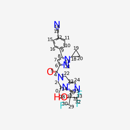 CC1CN(C(=O)c2cc(-c3ccc(C#N)cc3)n(C3CC3)n2)Cc2cnc(C(O)(CF)C(F)F)n21